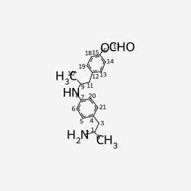 CC(N)Cc1ccc(NC(C)Cc2ccc(OC=O)cc2)cc1